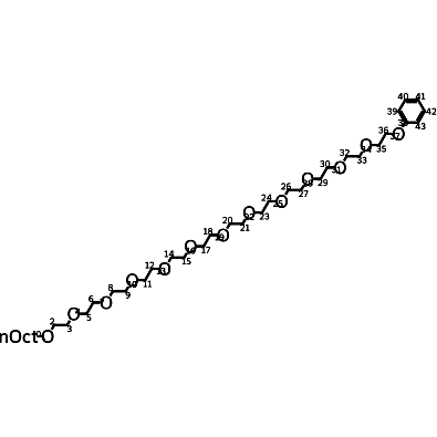 CCCCCCCCOCCOCCOCCOCCOCCOCCOCCOCCOCCOCCOCCOCCOc1ccccc1